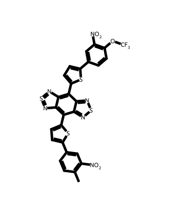 Cc1ccc(-c2ccc(-c3c4c(c(-c5ccc(-c6ccc(OC(F)(F)F)c([N+](=O)[O-])c6)s5)c5nsnc35)N=S=N4)s2)cc1[N+](=O)[O-]